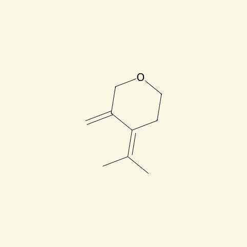 C=C1COCCC1=C(C)C